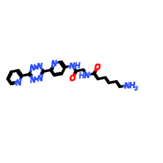 NCCCCCC(=O)NCC(=O)Nc1ccc(-c2nnc(-c3ccccn3)nn2)nc1